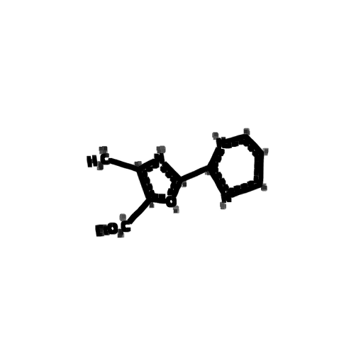 CCOC(=O)c1oc(-c2ncccn2)nc1C